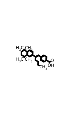 CCCC/C(=C\c1ccc(C(=O)O)cc1)c1ccc2c(c1)C(C)(C)CCC2(C)C